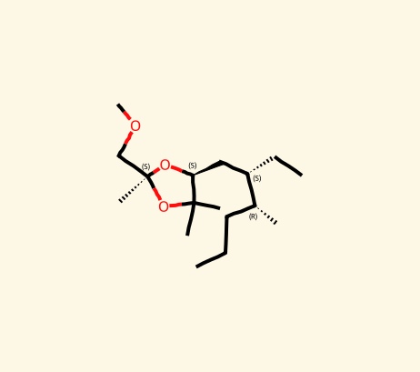 CCC[C@@H](C)[C@@H](CC)C[C@@H]1O[C@](C)(COC)OC1(C)C